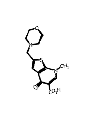 Cn1cc(C(=O)O)c(=O)c2cc(CN3CCOCC3)sc21